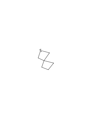 C1CC2(C1)CSC2